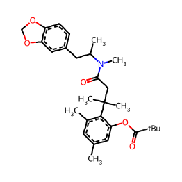 Cc1cc(C)c(C(C)(C)CC(=O)N(C)C(C)Cc2ccc3c(c2)OCO3)c(OC(=O)C(C)(C)C)c1